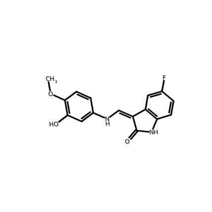 COc1ccc(NC=C2C(=O)Nc3ccc(F)cc32)cc1O